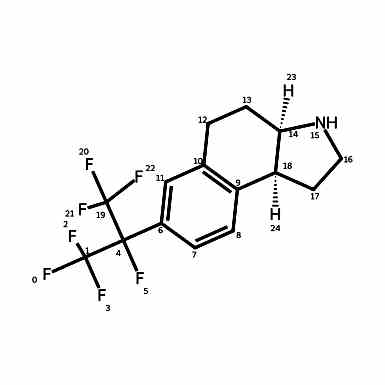 FC(F)(F)C(F)(c1ccc2c(c1)CC[C@H]1NCC[C@@H]21)C(F)(F)F